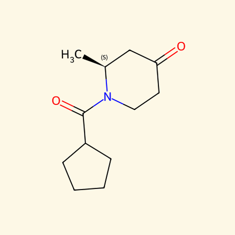 C[C@H]1CC(=O)CCN1C(=O)C1CCCC1